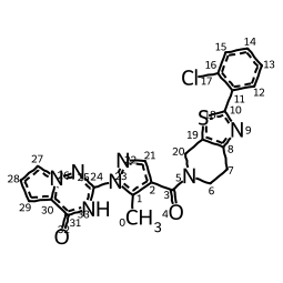 Cc1c(C(=O)N2CCc3nc(-c4ccccc4Cl)sc3C2)cnn1-c1nn2cccc2c(=O)[nH]1